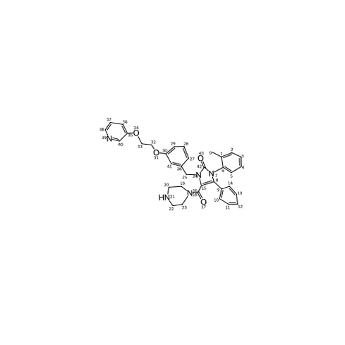 Cc1ccccc1-n1c(-c2ccccc2)c(C(=O)N2CCNCC2)n(Cc2cccc(OCCOc3cccnc3)c2)c1=O